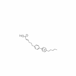 CCCCCC12CCC(c3ccc(CCC/C=C/C(=O)O)cc3)(CC1)CC2